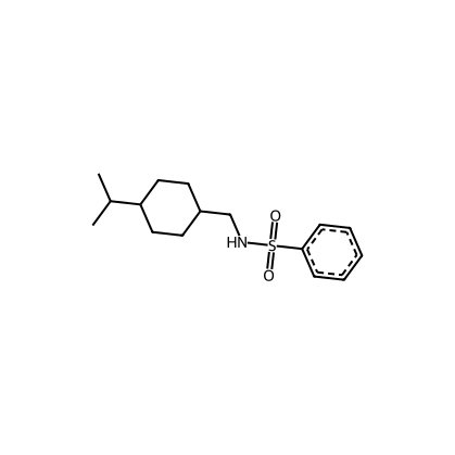 CC(C)C1CCC(CNS(=O)(=O)c2ccccc2)CC1